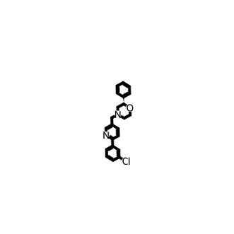 Clc1cccc(-c2ccc(CN3CCO[C@@H](c4ccccc4)C3)cn2)c1